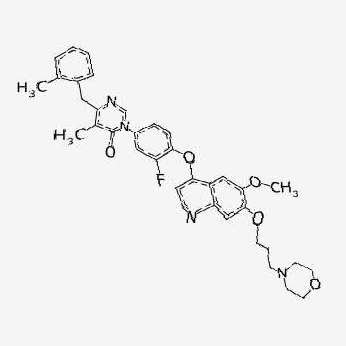 COc1cc2c(Oc3ccc(-n4cnc(Cc5ccccc5C)c(C)c4=O)cc3F)ccnc2cc1OCCCN1CCOCC1